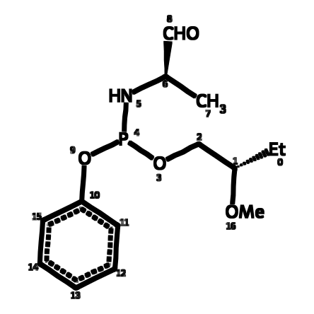 CC[C@@H](COP(N[C@H](C)C=O)Oc1ccccc1)OC